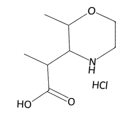 CC1OCCNC1C(C)C(=O)O.Cl